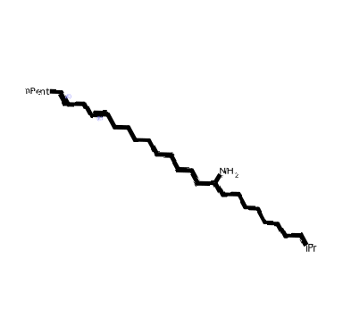 CCCCC/C=C/C/C=C/CCCCCCCCCC(N)CCCCCCCCC(C)C